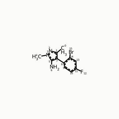 Cc1nn(C)c(N)c1-c1ccc(F)cc1Br